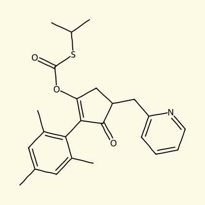 Cc1cc(C)c(C2=C(OC(=O)SC(C)C)CC(Cc3ccccn3)C2=O)c(C)c1